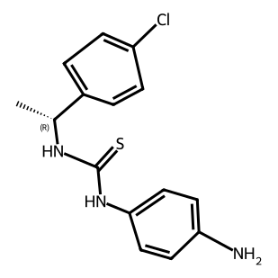 C[C@@H](NC(=S)Nc1ccc(N)cc1)c1ccc(Cl)cc1